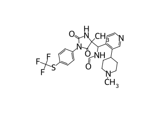 CN1CCC(c2cnccc2C(NC=O)C2(C)NC(=O)N(c3ccc(SC(F)(F)F)cc3)C2=O)CC1